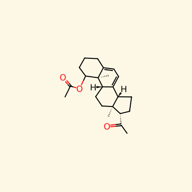 CC(=O)OC1CCCC2=CC=C3[C@@H]4CC[C@H](C(C)=O)[C@@]4(C)CC[C@@H]3[C@]21C